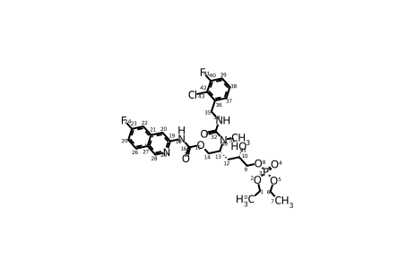 CCOP(=O)(OCC)OC[C@@H](O)C[C@H](COC(=O)Nc1cc2cc(F)ccc2cn1)N(C)C(=O)NCc1cccc(F)c1Cl